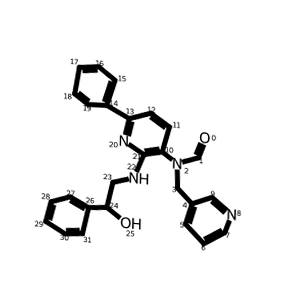 O=CN(Cc1cccnc1)c1ccc(-c2ccccc2)nc1NCC(O)c1ccccc1